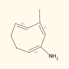 CC1=C/C(N)=C\CC\C=C\1